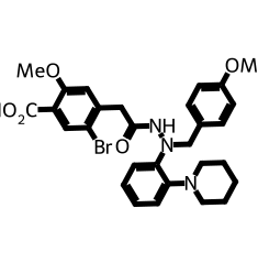 COc1ccc(CN(NC(=O)Cc2cc(OC)c(C(=O)O)cc2Br)c2ccccc2N2CCCCC2)cc1